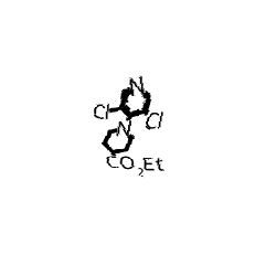 CCOC(=O)C1CCN(c2c(Cl)cncc2Cl)CC1